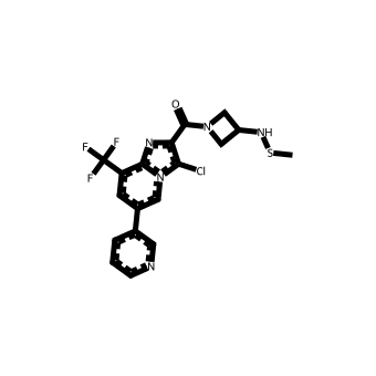 CSNC1CN(C(=O)c2nc3c(C(F)(F)F)cc(-c4cccnc4)cn3c2Cl)C1